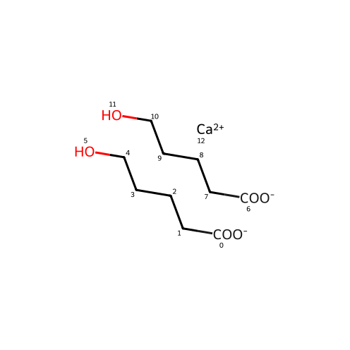 O=C([O-])CCCCO.O=C([O-])CCCCO.[Ca+2]